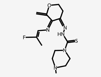 C=C1OCCC(=N/NC(=S)N2CCN(C)CC2)/C1=N/C=C(\C)F